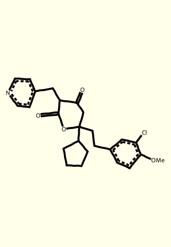 COc1ccc(CCC2(C3CCCC3)CC(=O)C(Cc3ccncc3)C(=O)O2)cc1Cl